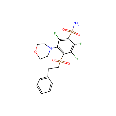 NS(=O)(=O)c1c(F)c(F)c(S(=O)(=O)CCc2ccccc2)c(N2CCOCC2)c1F